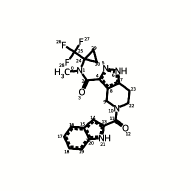 CN(C(=O)c1n[nH]c2c1CN(C(=O)c1cc3ccccc3[nH]1)CC2)C1(C(F)(F)F)CC1